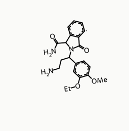 CCOc1cc(C(CCN)N2C(=O)c3[c]cccc3C2C(N)=O)ccc1OC